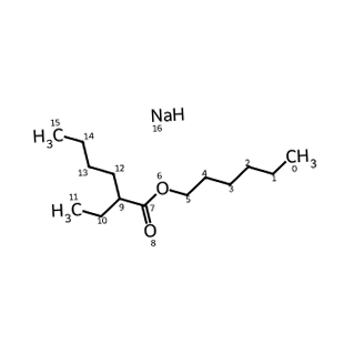 CCCCCCOC(=O)C(CC)CCCC.[NaH]